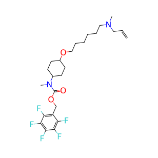 C=CCN(C)CCCCCCOC1CCC(N(C)C(=O)OCc2c(F)c(F)c(F)c(F)c2F)CC1